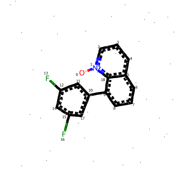 [O-][n+]1cccc2cccc(-c3cc(F)cc(F)c3)c21